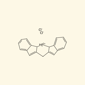 C1=C2CC3=Cc4ccccc4[CH]3[Hf+2][CH]2c2ccccc21.[Cl-].[Cl-]